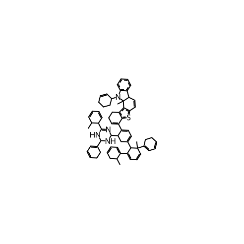 CC1CC=CC=C1C1=CC=CC(C)(C2=CC=CCC2)C1C1=CC=C(C2=CCCc3c2sc2c3C3(C)C(C=C2)c2ccccc2N3C2C=CCCC2)C(C2N=C(C3C=CC=CC3C)NC(C3=CC=CCC3)N2)C1